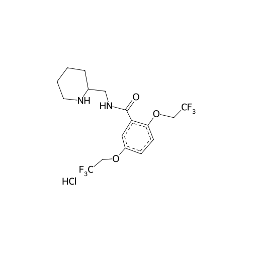 Cl.O=C(NCC1CCCCN1)c1cc(OCC(F)(F)F)ccc1OCC(F)(F)F